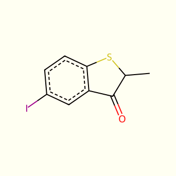 CC1Sc2ccc(I)cc2C1=O